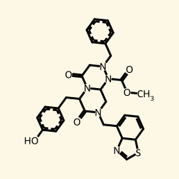 COC(=O)N1C2CN(CC3=CC=CC4SC=NC34)C(=O)C(Cc3ccc(O)cc3)N2C(=O)CN1Cc1ccccc1